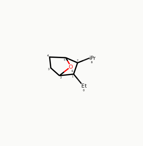 CCC1C2CCC(O2)C1C(C)C